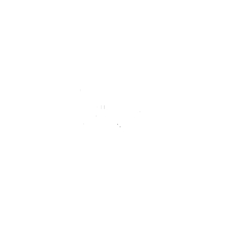 CCOCCC1(C)c2ccccc2CC(N(C)Cc2ccccc2)C1C